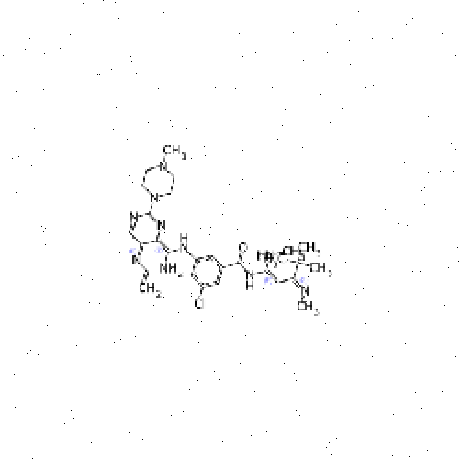 C=C/N=C1/C=NC(N2CCN(C)CC2)=N/C1=C(/N)Nc1cc(Cl)cc(C(=O)N/C(=C/C(=N\C)C(C)(C)C)NC)c1